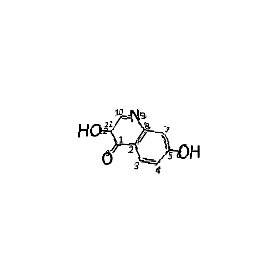 O=C1c2ccc(O)cc2N=CC1O